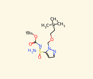 CC(C)(C)OC(=O)N=[S@](N)(=O)c1ccnn1COCC[Si](C)(C)C